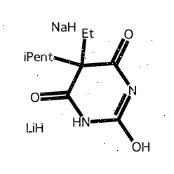 CCCC(C)C1(CC)C(=O)N=C(O)NC1=O.[LiH].[NaH]